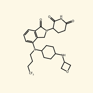 O=C1CCC(N2Cc3c(cccc3N(CCCC(F)(F)F)C3CCC(NC4COC4)CC3)C2=O)C(=O)N1